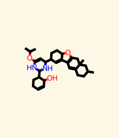 CC1CCC2=CC3=C(CC2(C)C1)OC1CCC(C2C=C(OC(C)C)NC(C4CCC=CC4O)N2)C=C31